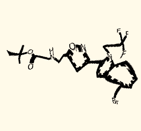 CC(C)(C)OC(=O)NCc1cc(-c2cc3c(Br)cccc3n2CC(F)(F)F)no1